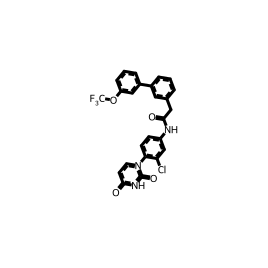 O=C(Cc1cccc(-c2cccc(OC(F)(F)F)c2)c1)Nc1ccc(-n2ccc(=O)[nH]c2=O)c(Cl)c1